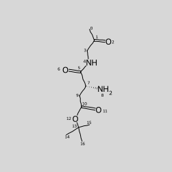 CC(=O)CNC(=O)[C@H](N)CC(=O)OC(C)(C)C